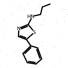 CCCNc1ncc(-c2ccccc2)s1